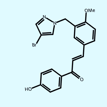 COc1ccc(/C=C/C(=O)c2ccc(O)cc2)cc1Cn1cc(Br)cn1